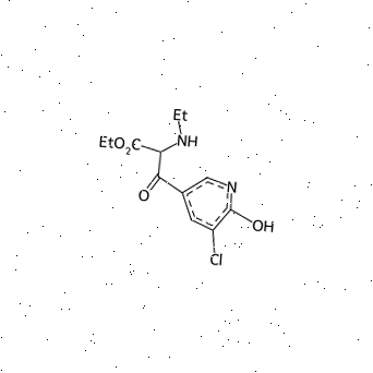 CCNC(C(=O)OCC)C(=O)c1cnc(O)c(Cl)c1